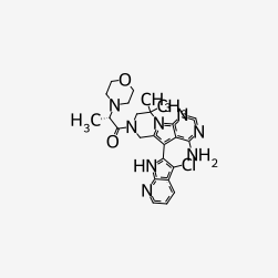 C[C@@H](C(=O)N1Cc2c(-c3[nH]c4ncccc4c3Cl)c3c(N)ncnc3n2C(C)(C)C1)N1CCOCC1